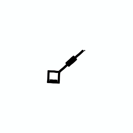 [CH2]C#CC1C=CC1